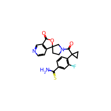 NC(=S)c1ccc(C2(C(=O)N3CCC4(C3)OC(=O)c3cnccc34)CC2)c(F)c1